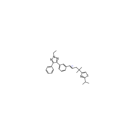 CCn1nc(-c2ccccc2)c(-c2cccc(/C=C/CC(C)(C)c3csc(C(C)C)n3)c2)n1